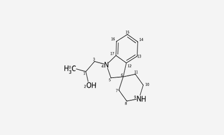 CC(O)CN1CC2(CCNCC2)c2ccccc21